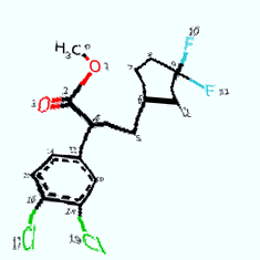 COC(=O)C(CC1CCC(F)(F)C1)c1ccc(Cl)c(Cl)c1